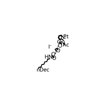 CCCCCCCCCCCCCCCCCCNC(=O)OC[C@H]1C[C@H](COC(=O)N(Cc2cccc[n+]2CC)C(C)=O)O1.[I-]